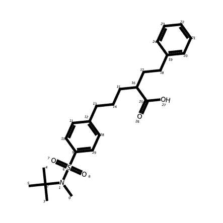 CN(C(C)(C)C)S(=O)(=O)c1ccc(CCCC(CCc2ccccc2)C(=O)O)cc1